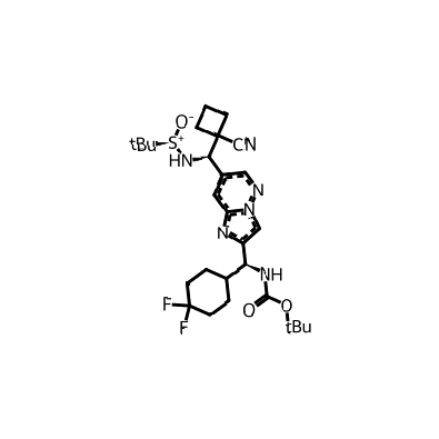 CC(C)(C)OC(=O)N[C@H](c1cn2ncc([C@@H](N[S@+]([O-])C(C)(C)C)C3(C#N)CCC3)cc2n1)C1CCC(F)(F)CC1